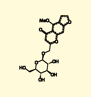 COc1c2ccoc2cc2oc(CO[C@@H]3O[C@H](CO)[C@@H](O)[C@H](O)[C@H]3O)cc(=O)c12